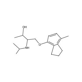 Cc1ccc(OCC(NC(C)C)C(C)O)c2c1CCC2